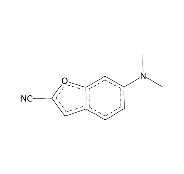 CN(C)c1ccc2cc(C#N)oc2c1